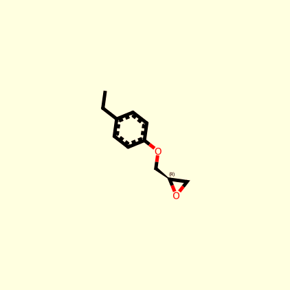 CCc1ccc(OC[C@H]2CO2)cc1